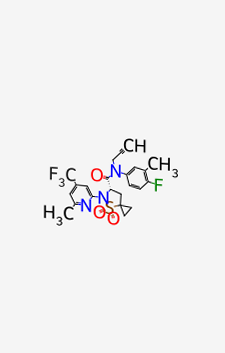 C#CCN(C(=O)[C@@H]1CC2(CC2)S(=O)(=O)N1c1cc(C(F)(F)F)cc(C)n1)c1ccc(F)c(C)c1